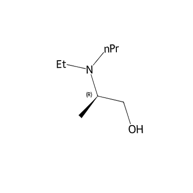 CCCN(CC)[C@H](C)CO